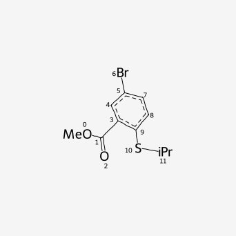 COC(=O)c1cc(Br)ccc1SC(C)C